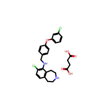 Clc1cccc(Oc2ccc(CNc3c(Cl)ccc4c3CCNCC4)cc2)c1.O=C(O)CCC(=O)O